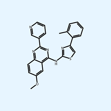 COc1ccc2nc(-c3cccnc3)nc(Nc3nc(-c4ccccc4C)cs3)c2c1